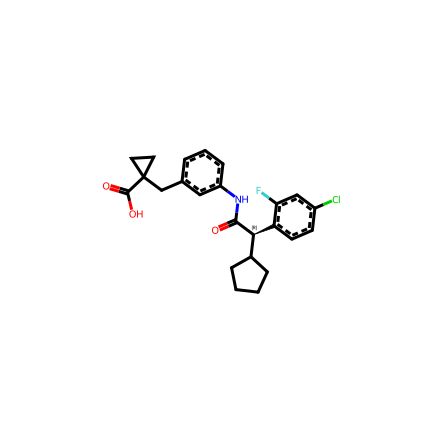 O=C(Nc1cccc(CC2(C(=O)O)CC2)c1)[C@@H](c1ccc(Cl)cc1F)C1CCCC1